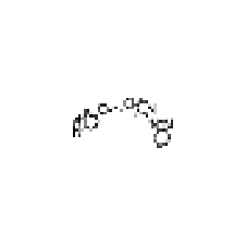 Cc1c(OCCCOc2ccc3nccn3n2)ccnc1Cn1cnc2ccccc21